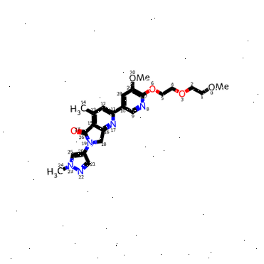 COCCOCCOc1ncc(-c2cc(C)c3c(n2)CN(c2cnn(C)c2)C3=O)cc1OC